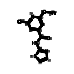 CC(C)Oc1cc(C(=O)Nc2nccs2)cc(Cl)n1